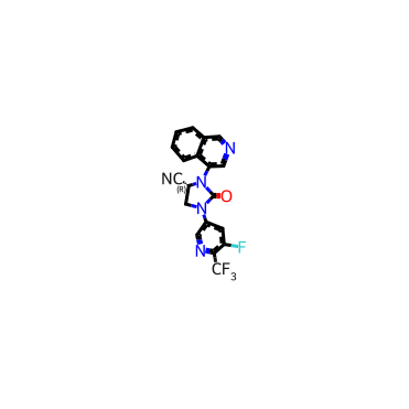 N#C[C@H]1CN(c2cnc(C(F)(F)F)c(F)c2)C(=O)N1c1cncc2ccccc12